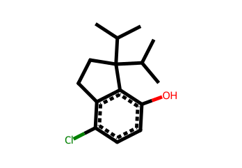 CC(C)C1(C(C)C)CCc2c(Cl)ccc(O)c21